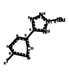 CC(C)(C)n1nnc(-c2ccc(I)cc2)n1